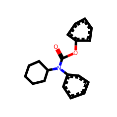 O=C(Oc1ccccc1)N(c1ccccc1)C1CCCCC1